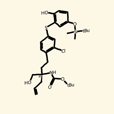 C=CC[C@@](CO)(CCc1ccc(Sc2cc(O[Si](C)(C)C(C)(C)C)ccc2O)cc1Cl)NC(=O)OC(C)(C)C